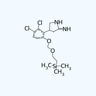 C[Si](C)(C)CCOCOc1ccc(Cl)c(Cl)c1C1CNC(=N)C1